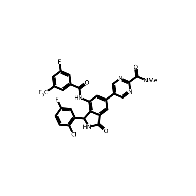 CNC(=O)c1ncc(-c2cc(NC(=O)c3cc(F)cc(C(F)(F)F)c3)c3c(c2)C(=O)NC3c2cc(F)ccc2Cl)cn1